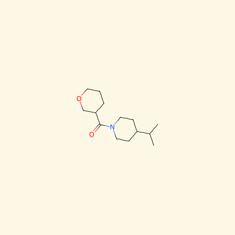 CC(C)C1CCN(C(=O)C2CCCOC2)CC1